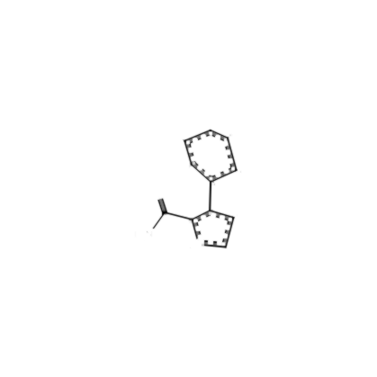 NC(=O)c1occc1-c1ccccc1